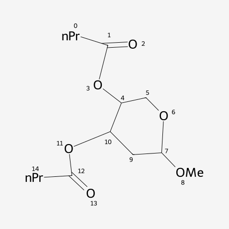 CCCC(=O)OC1COC(OC)CC1OC(=O)CCC